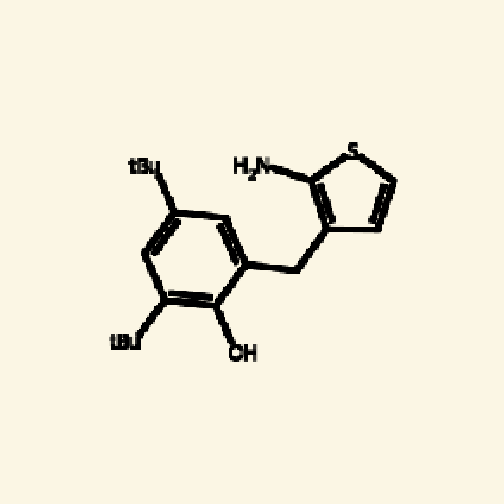 CC(C)(C)c1cc(Cc2ccsc2N)c(O)c(C(C)(C)C)c1